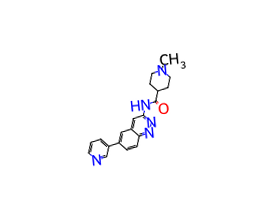 CN1CCC(C(=O)Nc2cc3cc(-c4cccnc4)ccc3nn2)CC1